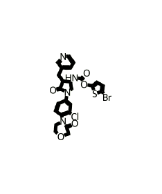 O=C(NC1CN(c2ccc(N3CCOCC3=O)c(Cl)c2)C(=O)C1Cc1cccnc1)Oc1ccc(Br)s1